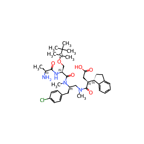 C[C@H](N)C(=O)N[C@@H](CO[Si](C)(C)C(C)(C)C)C(=O)N(C)[C@H](Cc1ccc(Cl)cc1)CN(C)C(=O)[C@@H](CC(=O)O)[C@@H]1CCc2ccccc21